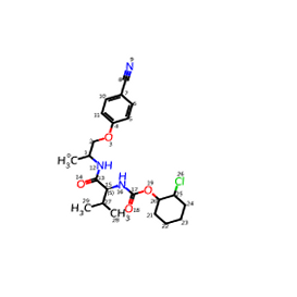 CC(COc1ccc(C#N)cc1)NC(=O)[C@@H](NC(=O)OC1CCCCC1Cl)C(C)C